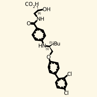 CC[C@H](C)[C@@H](COc1ccc(-c2ccc(Cl)cc2Cl)cc1)Nc1ccc(C(=O)NC[C@@H](O)C(=O)O)cc1